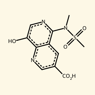 CN(c1ncc(O)c2ncc(C(=O)O)cc12)S(C)(=O)=O